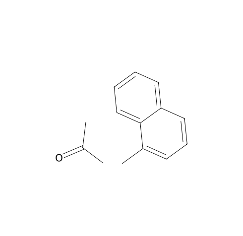 CC(C)=O.Cc1cccc2ccccc12